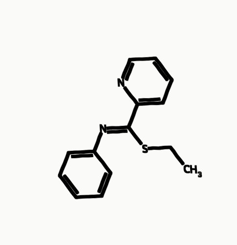 CCSC(=Nc1ccccc1)c1ccccn1